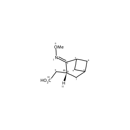 CON=C1C2CC(C2)C[C@@H]1CC(=O)O